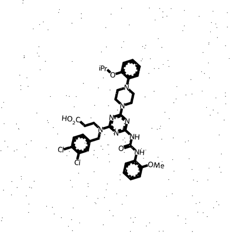 COc1ccccc1NC(=O)Nc1nc(N2CCN(c3ccccc3OC(C)C)CC2)nc(N(CCC(=O)O)Cc2ccc(Cl)c(Cl)c2)n1